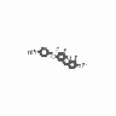 CCCc1ccc2c(c1F)Oc1c(cc(OCC3CCC(CCC)CC3)c(F)c1F)C2